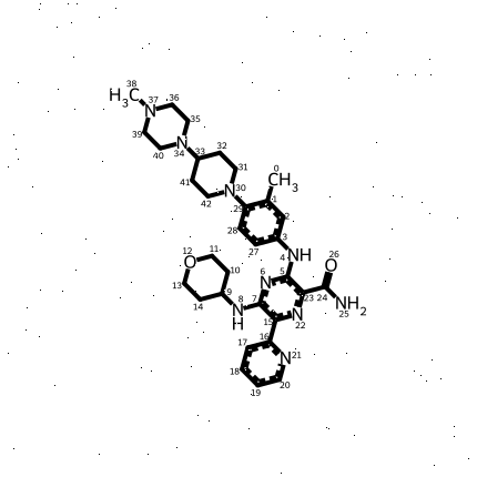 Cc1cc(Nc2nc(NC3CCOCC3)c(-c3ccccn3)nc2C(N)=O)ccc1N1CCC(N2CCN(C)CC2)CC1